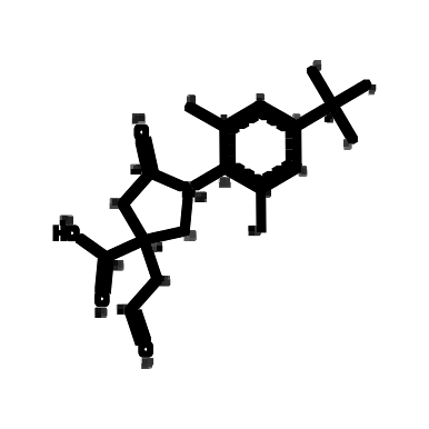 Cc1cc(C(C)(C)C)cc(C)c1N1CC(CC=O)(C(=O)O)CC1=O